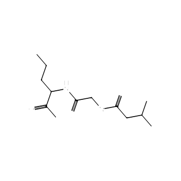 CCCC(NC(=O)CNC(=O)CC(C)C)C(C)=O